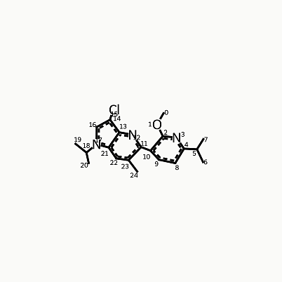 COc1nc(C(C)C)ccc1-c1nc2c(Cl)cn(C(C)C)c2cc1C